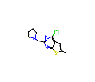 Cc1cc2c(Cl)nc(CN3CCCC3)nc2s1